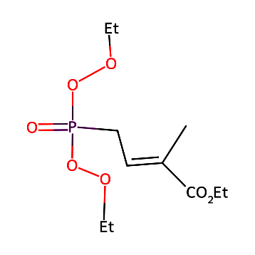 CCOOP(=O)(CC=C(C)C(=O)OCC)OOCC